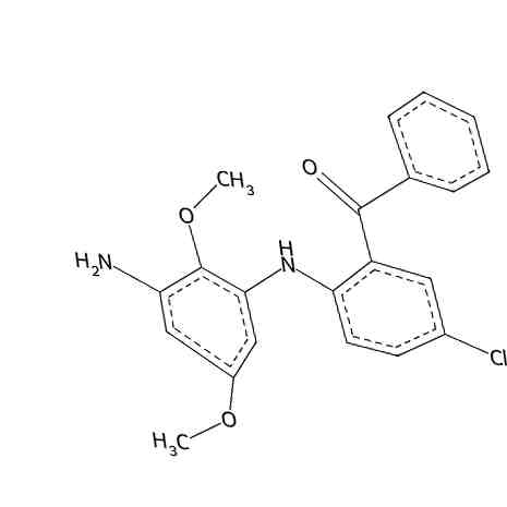 COc1cc(N)c(OC)c(Nc2ccc(Cl)cc2C(=O)c2ccccc2)c1